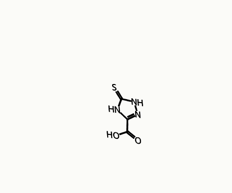 O=C(O)c1n[nH]c(=S)[nH]1